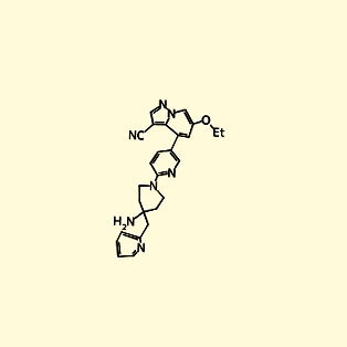 CCOc1cc(-c2ccc(N3CCC(N)(Cc4ccccn4)CC3)nc2)c2c(C#N)cnn2c1